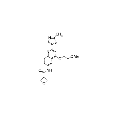 COCCOc1cc(-c2cnc(C)s2)nc2ccc(NC(=O)C3COC3)cc12